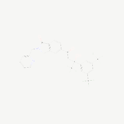 O=C(CC(O)(c1cc(C(F)(F)F)cc(C(F)(F)F)c1)C(F)(F)F)c1ccc2c(c1)CN(Cc1ccccn1)C2=O